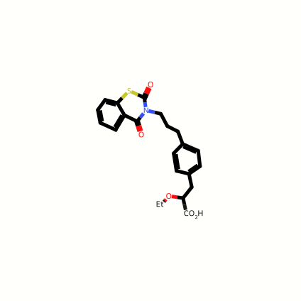 CCOC(Cc1ccc(CCCn2c(=O)sc3ccccc3c2=O)cc1)C(=O)O